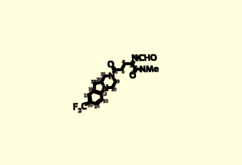 CNC(=O)/C(CCC(=O)N1CCN2c3ccc(C(F)(F)F)cc3CC2C1)=N\C=O